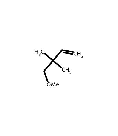 C=CC(C)(C)COC